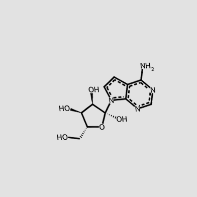 Nc1ncnc2c1ccn2[C@@]1(O)O[C@H](CO)[C@@H](O)[C@H]1O